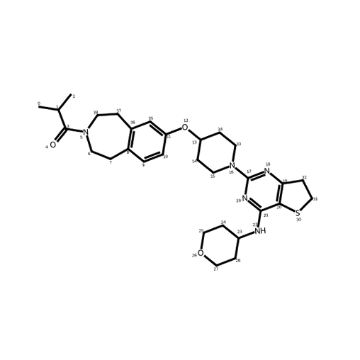 CC(C)C(=O)N1CCc2ccc(OC3CCN(c4nc5c(c(NC6CCOCC6)n4)SCC5)CC3)cc2CC1